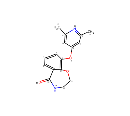 Cc1cc(Oc2cccc3c2OCCNC3=O)cc(C)n1